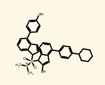 CCCC1=Cc2c(-c3ccc(C4CCCCC4)cc3)cccc2[CH]1[Zr]([Cl])([Cl])([CH]1C=Cc2c(-c3ccc(C(C)(C)C)cc3)cccc21)[SiH](C)C